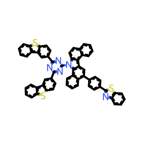 c1ccc2c(c1)ccc1c2c2cc(-c3ccc(-c4nc5ccccc5s4)cc3)c3ccccc3c2n1-c1nc(-c2ccc3sc4ccccc4c3c2)nc(-c2ccc3sc4ccccc4c3c2)n1